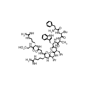 CC[C@H](C)[C@H](NC(=O)[C@@H](N)Cc1ccccc1)C(=O)N[C@@H](C)C(=O)N[C@@H](Cc1c[nH]c2ccccc12)C(=O)N[C@@H](CC(C)C)C(=O)N[C@H](C(=O)N[C@@H](CCCNC(=N)N)C(=O)NCC(=O)N[C@@H](CCCNC(=N)N)C(=O)NCC(=O)O)C(C)C